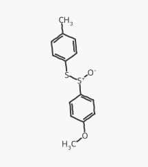 COc1ccc([S+]([O-])Sc2ccc(C)cc2)cc1